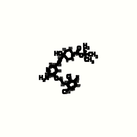 CC(C)(C)OC(=O)N1CCC(O)(C#Cc2cnc(N)c(OCCc3c(Cl)ccc(F)c3Cl)c2)CC1